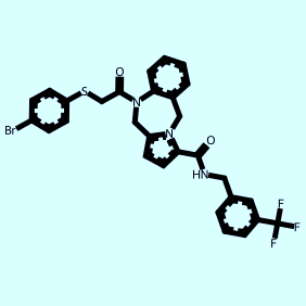 O=C(NCc1cccc(C(F)(F)F)c1)c1ccc2n1Cc1ccccc1N(C(=O)CSc1ccc(Br)cc1)C2